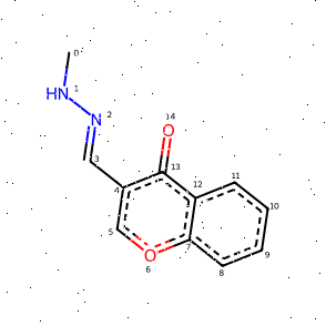 CNN=Cc1coc2ccccc2c1=O